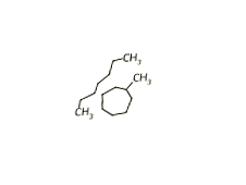 CC1CCCCCC1.CCCCCCC